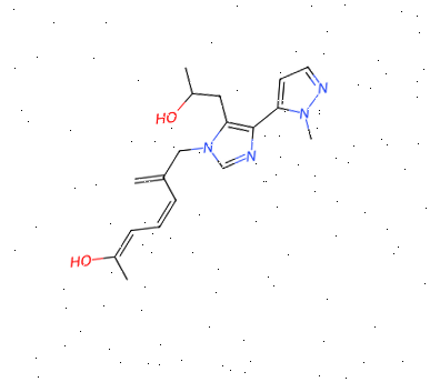 C=C(/C=C\C=C(/C)O)Cn1cnc(-c2ccnn2C)c1CC(C)O